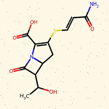 CC(O)C1C(=O)N2C(C(=O)O)=C(SC=CC(N)=O)CC12